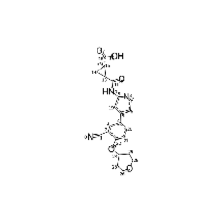 N#Cc1cc(-c2ccnc(NC(=O)C3C[C@@H]3C(=O)O)c2)ccc1OC1CCOCC1